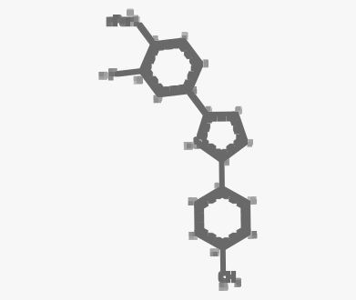 CCCCCc1ccc(-c2ccc(-c3ccc(C)cc3)s2)cc1F